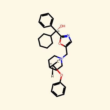 O[C@](c1ccccc1)(c1ncc(C[N+]23CCC(CC2)[C@@H](Oc2ccccc2)C3)o1)C1CCCCC1